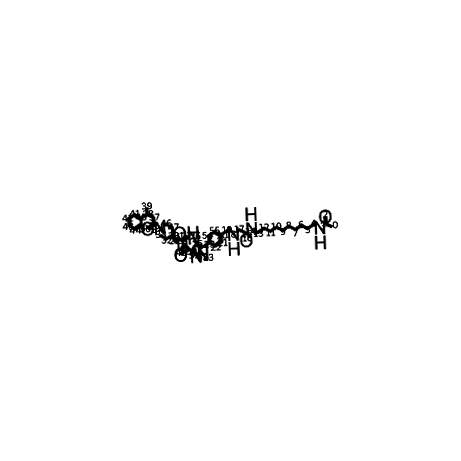 CC(=O)NCCCCCCCCCCNC(=O)CNCc1ccc(-c2c3ncn(CC4(O)CCN(C(=O)CC(C)c5ccccc5)CC4)c(=O)c3nn2C)cc1